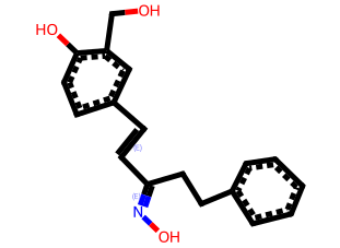 OCc1cc(/C=C/C(CCc2ccccc2)=N/O)ccc1O